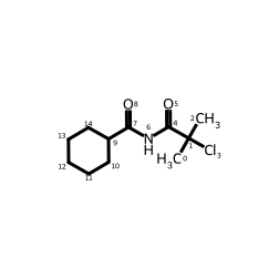 CC(C)(Cl)C(=O)NC(=O)C1CCCCC1